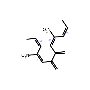 C=C(/C=C(\C=C/C)[N+](=O)[O-])C(=C)/C=C(\C=C/C)[N+](=O)[O-]